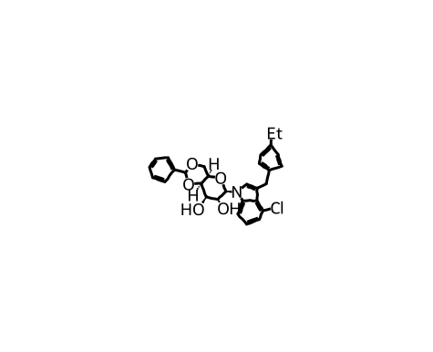 CCc1ccc(Cc2cn([C@@H]3O[C@@H]4COC(c5ccccc5)O[C@@H]4[C@H](O)[C@H]3O)c3cccc(Cl)c23)cc1